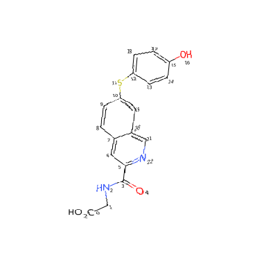 O=C(O)CNC(=O)c1cc2ccc(Sc3ccc(O)cc3)cc2cn1